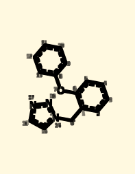 [CH](c1ccccc1Oc1ccccc1)n1ccnn1